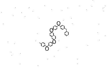 Cc1ccc(C(=O)c2ccc(Oc3ccc4cc(Oc5ccc(C(=O)c6ccc(Cc7ccccc7)cc6)cc5)ccc4c3)cc2)cc1